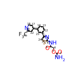 NC(=O)OCC(=O)Nc1nc(-c2cccc(-c3ccnc(C(F)(F)F)c3)c2)cs1